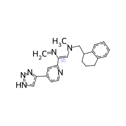 C=N/C(=C\N(C)CC1CCCc2ccccc21)c1cc(-c2c[nH]nn2)ccn1